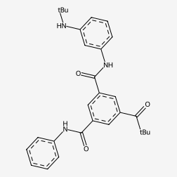 CC(C)(C)Nc1cccc(NC(=O)c2cc(C(=O)Nc3ccccc3)cc(C(=O)C(C)(C)C)c2)c1